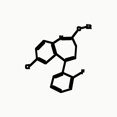 CCOC1=Nc2ccc(Cl)cc2C(c2ccccc2F)=CC1